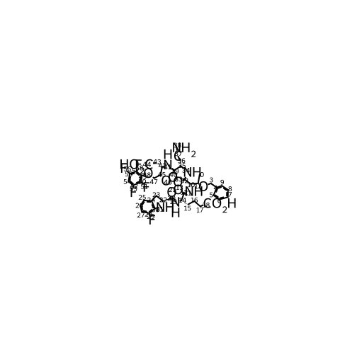 CC(OCc1ccccc1)[C@H](NC(=O)[C@H](CCCC(=O)O)NC(=O)[C@@H]1Cc2cccc(F)c2N1)C(=O)N[C@@H](CCN)C(=O)N[C@@H](CC(=O)O)C(=O)COc1c(F)c(F)cc(F)c1F